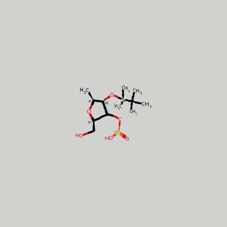 C[C@@H]1O[C@H](CO)C(O[PH](=O)O)[C@@H]1O[Si](C)(C)C(C)(C)C